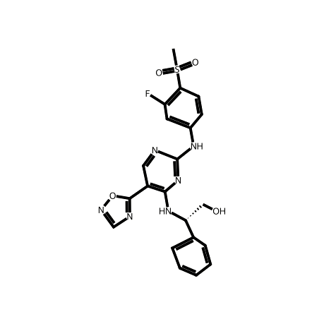 CS(=O)(=O)c1ccc(Nc2ncc(-c3ncno3)c(N[C@H](CO)c3ccccc3)n2)cc1F